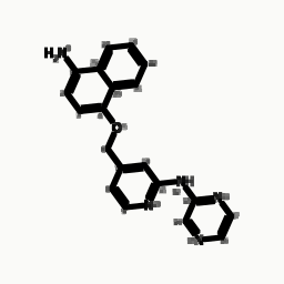 Nc1ccc(OCc2ccnc(Nc3cnccn3)c2)c2ccccc12